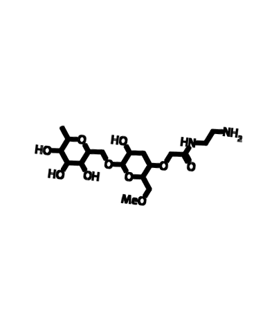 COCC1OC(OCC2OC(C)C(O)C(O)C2O)C(O)CC1OCC(=O)NCCN